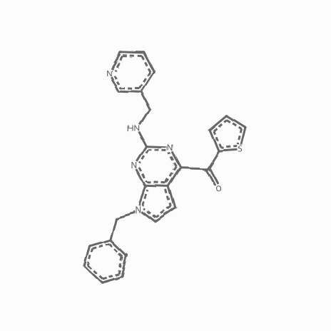 O=C(c1cccs1)c1nc(NCc2cccnc2)nc2c1ccn2Cc1ccccc1